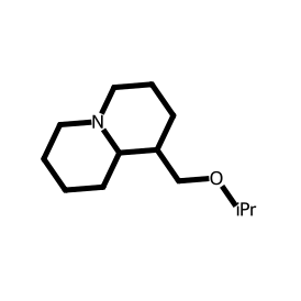 CC(C)OCC1CCCN2CCCCC12